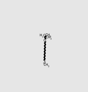 CCSCCCCCCCCCCCCCCOCCC(C)(C)C